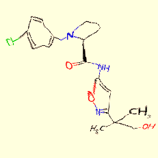 CC(C)(CO)c1cc(NC(=O)[C@@H]2CCN2c2ccc(Cl)cc2)on1